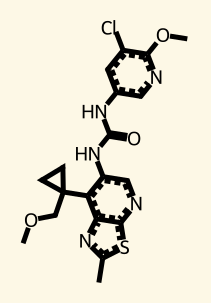 COCC1(c2c(NC(=O)Nc3cnc(OC)c(Cl)c3)cnc3sc(C)nc23)CC1